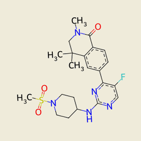 CN1CC(C)(C)c2cc(-c3nc(NC4CCN(S(C)(=O)=O)CC4)ncc3F)ccc2C1=O